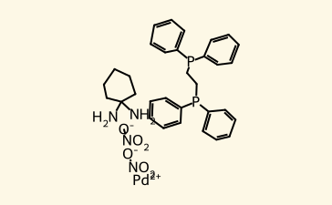 NC1(N)CCCCC1.O=[N+]([O-])[O-].O=[N+]([O-])[O-].[Pd+2].c1ccc(P(CCP(c2ccccc2)c2ccccc2)c2ccccc2)cc1